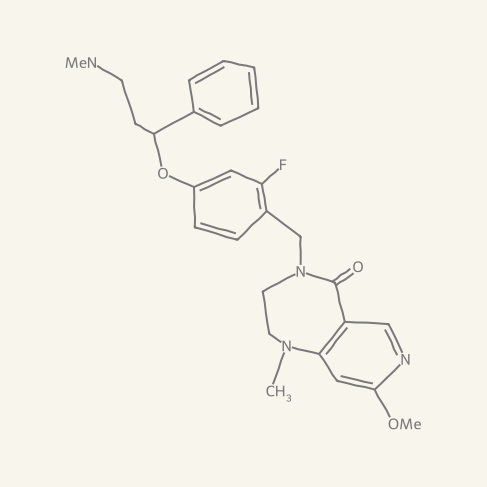 CNCCC(Oc1ccc(CN2CCN(C)c3cc(OC)ncc3C2=O)c(F)c1)c1ccccc1